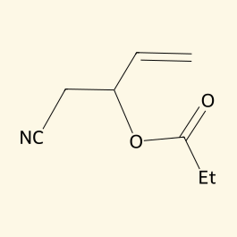 C=CC(CC#N)OC(=O)CC